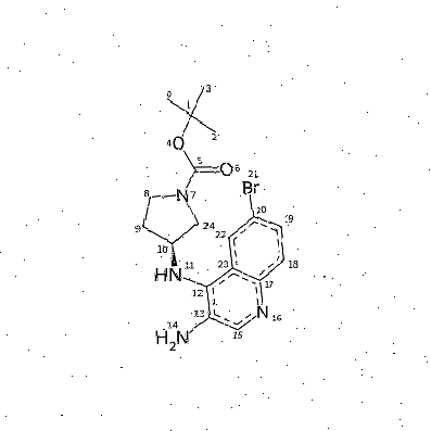 CC(C)(C)OC(=O)N1CC[C@H](Nc2c(N)cnc3ccc(Br)cc23)C1